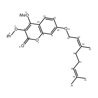 COc1c(OC(C)C)c(=O)oc2cc(OCC=C(C)CCC=C(C)C)ccc12